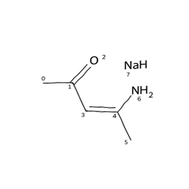 CC(=O)C=C(C)N.[NaH]